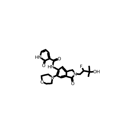 CC(C)(O)C(F)CN1Cc2cc(NC(=O)c3ccc[nH]c3=O)c(N3CCOCC3)cc2C1=O